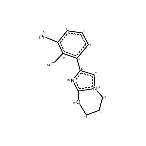 CC(C)c1cccc(-c2cn3c(n2)OCCC3)c1F